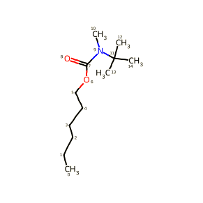 CCCCCCOC(=O)N(C)C(C)(C)C